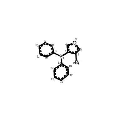 Brc1cocc1P(c1ccccc1)c1ccccc1